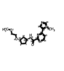 COCCO[C@H]1CC[C@H](NC(=O)c2nccc(-c3cncn3C)n2)C1